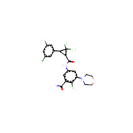 NC(=O)c1cc(NC(=O)C2C(c3cc(Cl)cc(Cl)c3)C2(Cl)Cl)cc(N2CCOCC2)c1Cl